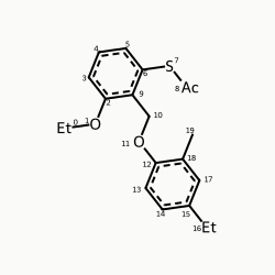 CCOc1cccc(SC(C)=O)c1COc1ccc(CC)cc1C